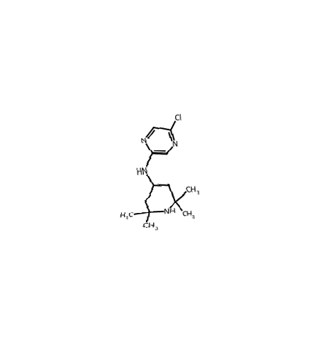 CC1(C)CC(Nc2cnc(Cl)cn2)CC(C)(C)N1